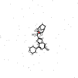 CS(=O)(=O)N1C2CCC1CN(Cc1cn3cc(Br)nc(N4CCOCC4)c3n1)C2